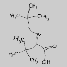 CC(C)(C)C/N=C(/C(=O)O)C(C)(C)C